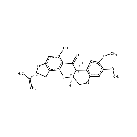 C=C(C)[C@H]1Cc2c(cc(O)c3c2O[C@@H]2COc4cc(OC)c(OC)cc4[C@@H]2C3=O)O1